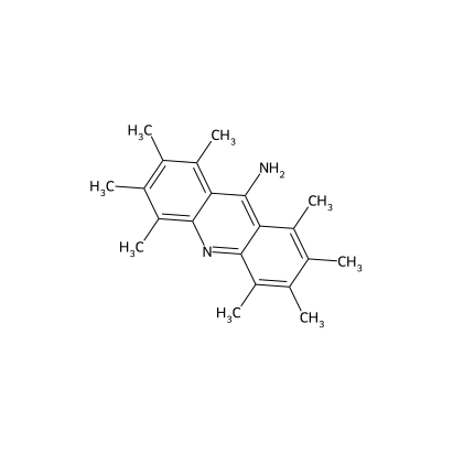 Cc1c(C)c(C)c2c(N)c3c(C)c(C)c(C)c(C)c3nc2c1C